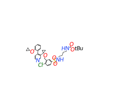 CC(C)(C)OC(=O)NCCCCNS(=O)(=O)c1ccc(Cl)c(COC2(c3cnccc3-c3ccccc3OC3CC3)CC2)c1